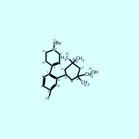 CCCCN1CC=C(c2ccc(F)cc2C2CC(C)(C)CC(C)(C)C2)CC1.Cl